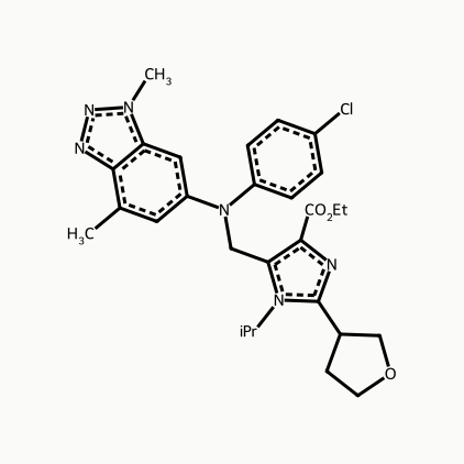 CCOC(=O)c1nc(C2CCOC2)n(C(C)C)c1CN(c1ccc(Cl)cc1)c1cc(C)c2nnn(C)c2c1